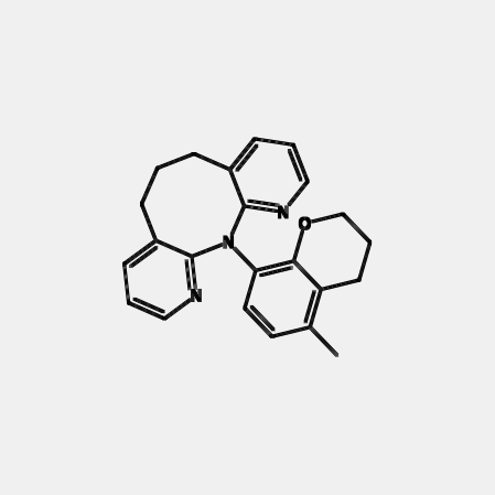 Cc1ccc(N2c3ncccc3CCCc3cccnc32)c2c1CCCO2